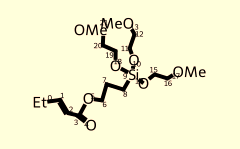 CCC=CC(=O)OCCC[Si](OCCOC)(OCCOC)OCCOC